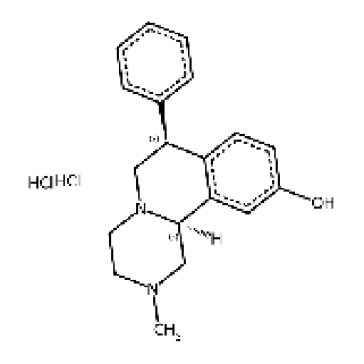 CN1CCN2C[C@@H](c3ccccc3)c3ccc(O)cc3[C@H]2C1.Cl.Cl